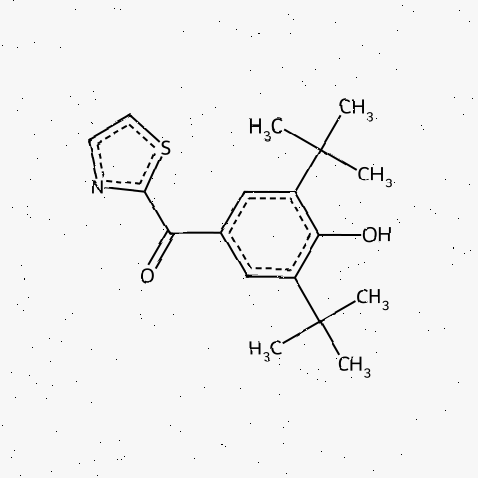 CC(C)(C)c1cc(C(=O)c2nccs2)cc(C(C)(C)C)c1O